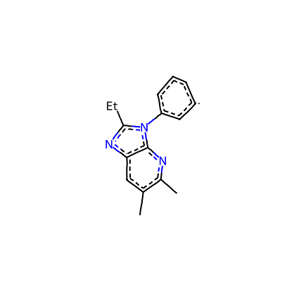 CCc1nc2cc(C)c(C)nc2n1-c1c[c]ccc1